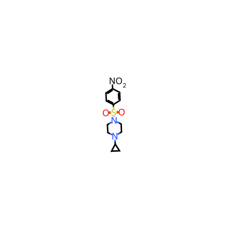 O=[N+]([O-])c1ccc(S(=O)(=O)N2CCN(C3CC3)CC2)cc1